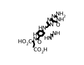 N=[N+]=N.Nc1nc2ncc(CNc3ccc(C(=O)NC(CCC(=O)O)C(=O)O)cc3)nc2c(=O)[nH]1